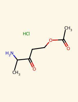 CC(=O)OCCC(=O)C(C)N.Cl